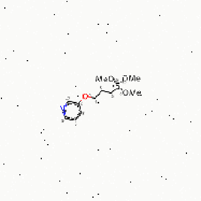 CO[Si](CCCOc1cccnc1)(OC)OC